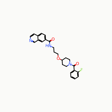 O=C(NCCCOC1CCN(C(=O)c2ccccc2F)CC1)c1ccc2ccncc2c1